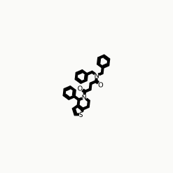 O=C(CCC(=O)N1CCc2sccc2C1c1ccccc1)N(Cc1ccccc1)Cc1ccccc1